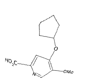 COc1cnc(C(=O)O)cc1OC1CCCC1